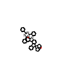 c1ccc(-c2nc(-c3ccccc3)nc(-c3ccccc3-n3c4ccccc4c4c5c(ccc43)C3(c4ccccc4-5)C4CC5CC6CC3C4(C5)C6)n2)cc1